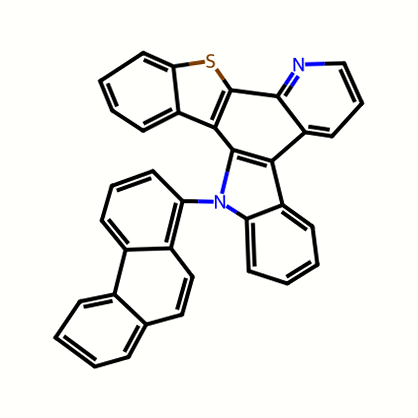 c1ccc2c(c1)ccc1c(-n3c4ccccc4c4c5cccnc5c5sc6ccccc6c5c43)cccc12